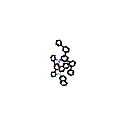 c1ccc(-c2cccc(-c3cc(-c4cccc(-c5ccccc5)c4)cc(-n4c5ccccc5c5cc(-c6ccccc6N(c6ccc7ccccc7c6)c6ccc7ccccc7c6)ccc54)c3)c2)cc1